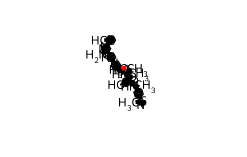 Cc1ncsc1-c1ccc(C(C)NC(=O)[C@@H]2C[C@@H](O)CN2C(=O)C(NC(=O)CN2CCN(c3ccc(-c4cc(-c5ccccc5O)nnc4N)c(F)c3)CC2)C(C)(C)C)cc1